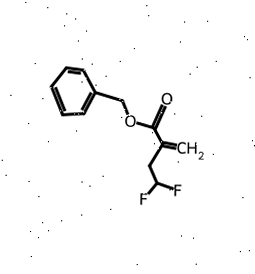 C=C(CC(F)F)C(=O)OCc1ccccc1